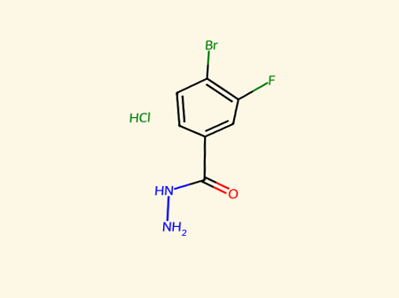 Cl.NNC(=O)c1ccc(Br)c(F)c1